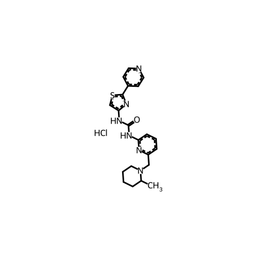 CC1CCCCN1Cc1cccc(NC(=O)Nc2csc(-c3ccncc3)n2)n1.Cl